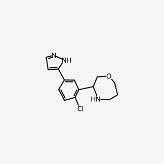 Clc1ccc(-c2ccn[nH]2)cc1C1COCCCN1